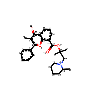 Cc1c(-c2ccccc2)oc2c(C(=O)OC(C)(C)CN3CCCCC3C)cccc2c1=O